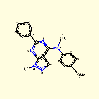 COc1ccc(N(C)c2nc(-c3ccccc3)nc3c2cnn3C)cc1